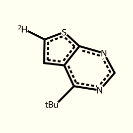 [2H]c1cc2c(C(C)(C)C)ncnc2s1